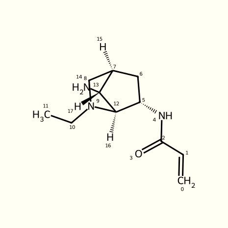 C=CC(=O)N[C@H]1C[C@@H]2CN(CC)[C@H]1[C@@H]2N